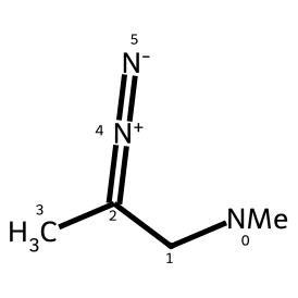 CNCC(C)=[N+]=[N-]